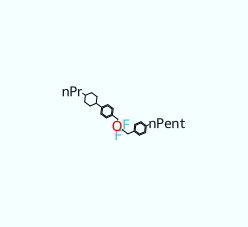 CCCCCc1ccc(CC(F)(F)OCc2ccc(C3CCC(CCC)CC3)cc2)cc1